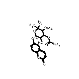 COC1C(OC(N)=O)C(O)[C@H](Oc2ccc3oc(=O)ccc3c2)OC1(C)C